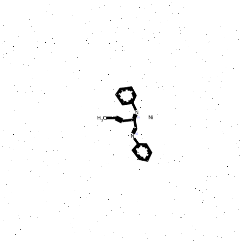 CC#CC(/C=N/c1ccccc1)=N\c1ccccc1.[Ni]